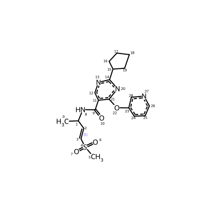 CC(/C=C/S(C)(=O)=O)NC(=O)c1cnc(C2CCCC2)nc1Oc1cccnc1